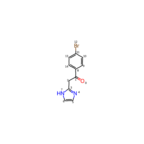 O=C(Cc1ncc[nH]1)c1ccc(Br)cc1